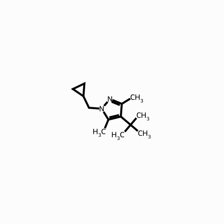 Cc1nn(CC2CC2)c(C)c1C(C)(C)C